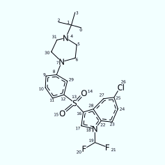 CC(C)(C)N1CCN(c2cccc(S(=O)(=O)c3cn(C(F)F)c4ccc(Cl)cc34)c2)CC1